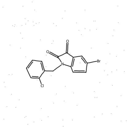 O=C1C(=O)N(Cc2ccccc2Cl)c2ccc(Br)cc21